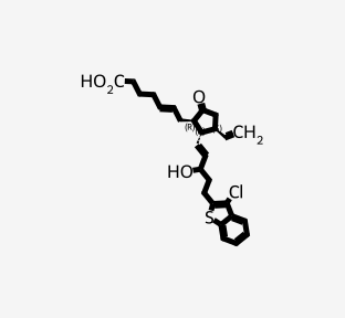 C=C[C@@H]1CC(=O)[C@H](CC=CCCCC(=O)O)[C@H]1C=CC(O)CCc1sc2ccccc2c1Cl